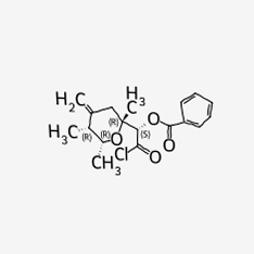 C=C1C[C@](C)([C@H](OC(=O)c2ccccc2)C(=O)Cl)O[C@H](C)[C@@H]1C